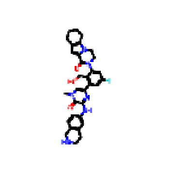 Cn1cc(-c2cc(F)cc(N3CCn4c(cc5c4CCCC5)C3=O)c2CO)nc(Nc2ccc3c(c2)CCNC3)c1=O